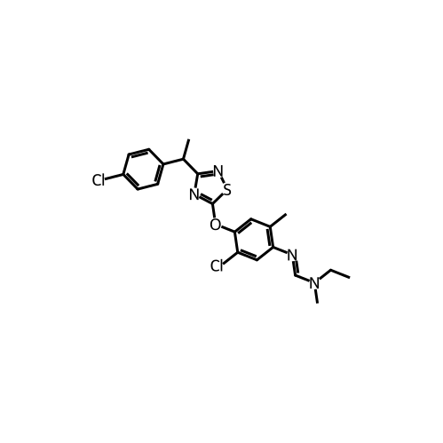 CCN(C)C=Nc1cc(Cl)c(Oc2nc(C(C)c3ccc(Cl)cc3)ns2)cc1C